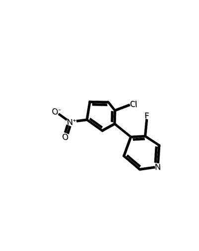 O=[N+]([O-])c1ccc(Cl)c(-c2ccncc2F)c1